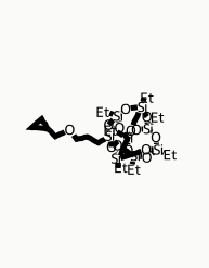 CC[Si]12O[Si]3(CC)O[Si]4(CC)O[Si](CC)(O1)O[Si]1(CC)O[Si](CC)(O2)O[Si](CC)(O3)O[Si](CCCOCC2CC2)(O4)O1